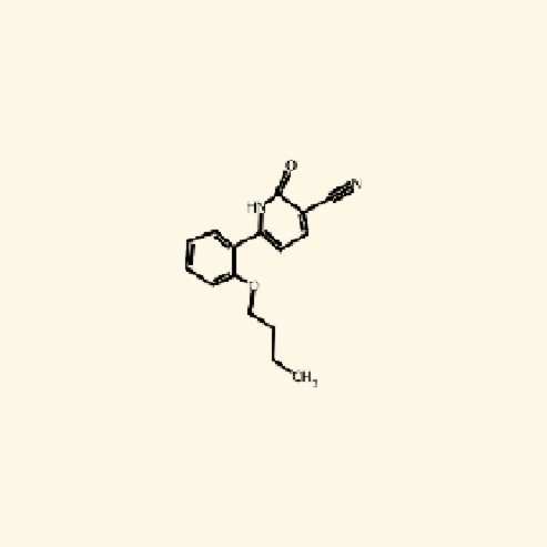 CCCCOc1ccccc1-c1ccc(C#N)c(=O)[nH]1